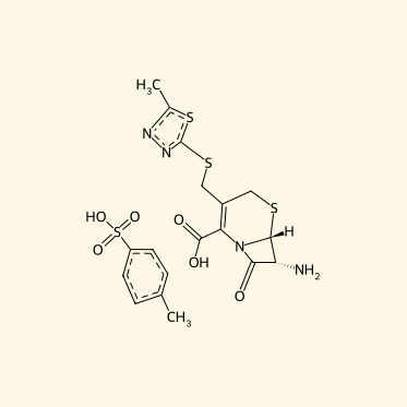 Cc1ccc(S(=O)(=O)O)cc1.Cc1nnc(SCC2=C(C(=O)O)N3C(=O)[C@@H](N)[C@H]3SC2)s1